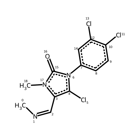 C/N=C\c1c(Cl)n(-c2ccc(Cl)c(Cl)c2)c(=O)n1C